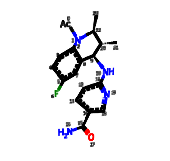 CC(=O)N1c2ccc(F)cc2[C@H](Nc2ccc(C(N)=O)cn2)[C@@H](C)[C@@H]1C